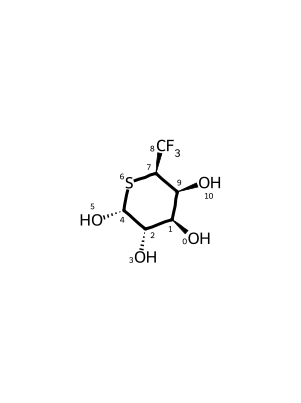 O[C@H]1[C@H](O)[C@H](O)S[C@@H](C(F)(F)F)[C@H]1O